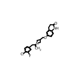 C=C(Cc1ccc(Cl)c(F)c1)N1CC(COc2ccc3c(c2)CCC(=O)N3)C1